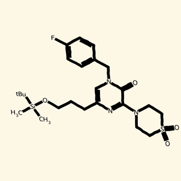 CC(C)(C)[Si](C)(C)OCCCc1cn(Cc2ccc(F)cc2)c(=O)c(N2CCS(=O)(=O)CC2)n1